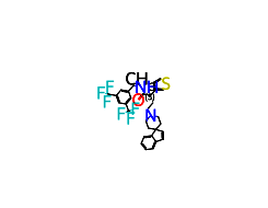 CC(NC(=O)[C@@H](CCN1CCC2(C=Cc3ccccc32)CC1)c1ccsc1)c1cc(C(F)(F)F)cc(C(F)(F)F)c1